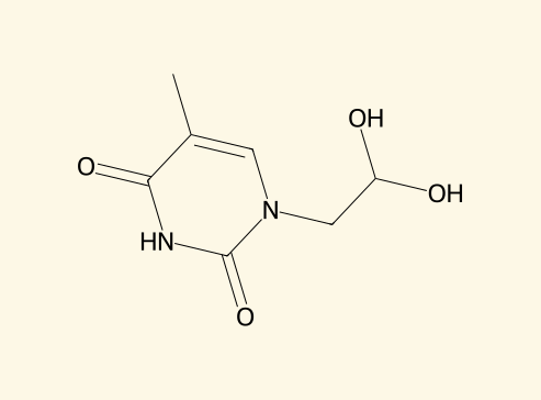 Cc1cn(CC(O)O)c(=O)[nH]c1=O